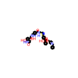 O=C(NCc1cnc(-c2ccc(C(O)(C(=O)OCC3CCN(Cc4ccccc4)CC3)c3ccccc3)cc2)s1)c1ccc(CNCC(O)c2ccc(O)c3[nH]c(=O)ccc23)cc1